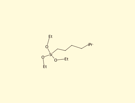 CCO[Si](CCCC[C](C)C)(OCC)OCC